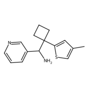 Cc1csc(C2(C(N)c3cccnc3)CCC2)c1